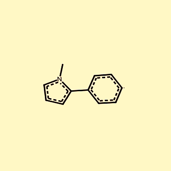 Cn1cccc1-c1cc[c]cc1